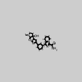 CN1CCC(O)(c2cc(-c3cccc(-c4nc(C(N)=O)n5ccccc45)c3)no2)C1=O